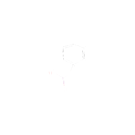 OP(O)Sc1ccccc1